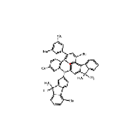 CC(C)(C)c1cc(-c2cc(C(C)(C)C)ccc2-c2ccc(C(C)(C)C)cc2N(c2ccc3c(c2)C(C)(C)c2ccccc2-3)c2ccc3c(c2)C(C)(C)c2cccc(C(C)(C)C)c2-3)cc(C(C)(C)C)c1